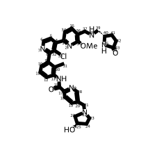 COc1nc(-c2ccnc(-c3cccc(NC(=O)c4ccc(CN5CC[C@@H](O)C5)cn4)c3C)c2Cl)ccc1CNC[C@@H]1CCC(=O)N1